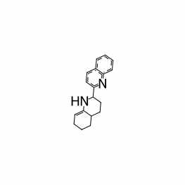 C1=C2NC(c3ccc4ccccc4n3)CCC2CCC1